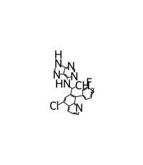 CC(Nc1ncnc2[nH]cnc12)c1cc(Cl)c2cccnc2c1-c1cccc(F)c1